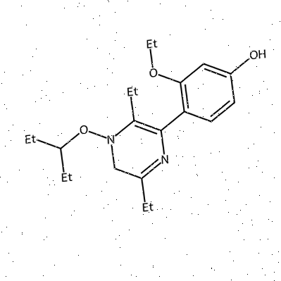 CCOc1cc(O)ccc1C1=C(CC)N(OC(CC)CC)CC(CC)=N1